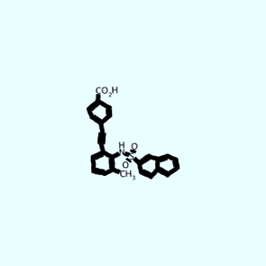 Cc1cccc(C#Cc2ccc(C(=O)O)cc2)c1NS(=O)(=O)c1ccc2ccccc2c1